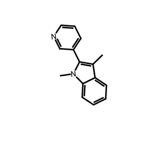 Cc1c(-c2cccnc2)n(C)c2ccccc12